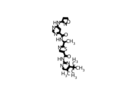 Cc1cnc(NC(=O)c2cnc(C(C)NC(=O)c3cc(Nc4ccon4)ncn3)s2)nc1C(C)(C)C